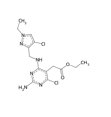 CCOC(=O)Cc1c(Cl)nc(N)nc1NCc1nn(CC)cc1Cl